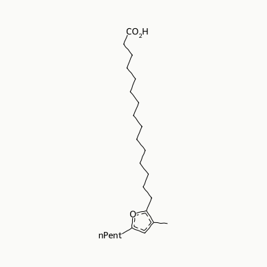 CCCCCc1cc(C)c(CCCCCCCCCCCCCCC(=O)O)o1